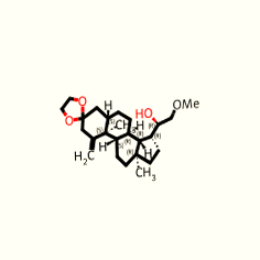 C=C1CC2(C[C@@H]3CC[C@H]4[C@@H]5[C@H]([C@@H](O)COC)CC[C@@]5(C)CC[C@@H]4[C@@]13C)OCCO2